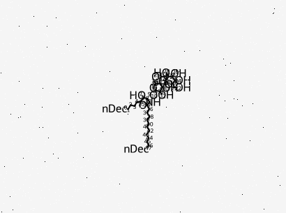 CCCCCCCCCCCCC/C=C/[C@@H](O)[C@H](CO[C@@H]1OC(CO)[C@H](O[C@@H]2OC(CO)[C@H](O)[C@H](O)C2O)[C@H](O)C1O)NC(=O)CCCCCCCCCCCCCCCCCCCCC